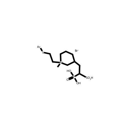 CC(=O)SCC[N+]1(C)CCCC(CC(P(=O)(O)O)S(=O)(=O)O)C1.[Br-]